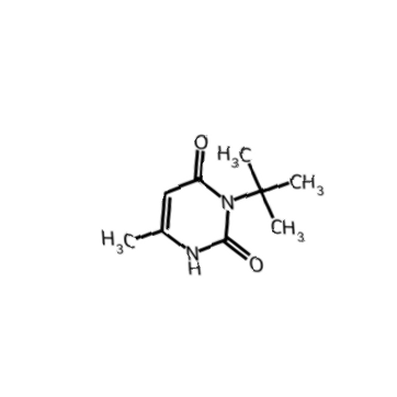 Cc1cc(=O)n(C(C)(C)C)c(=O)[nH]1